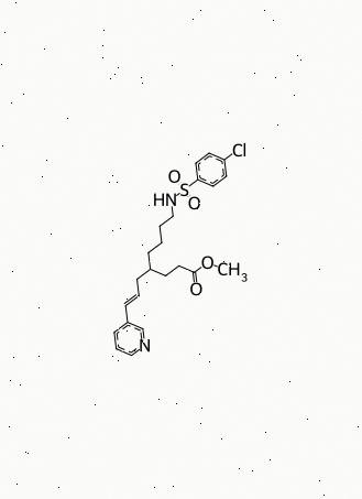 COC(=O)CCC(CC=Cc1cccnc1)CCCCNS(=O)(=O)c1ccc(Cl)cc1